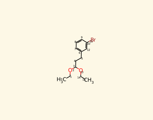 CCOC(CCc1cccc(Br)c1)OCC